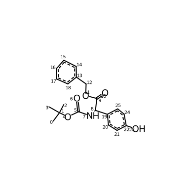 CC(C)(C)OC(=O)N[C@H](C(=O)OCc1ccccc1)c1ccc(O)cc1